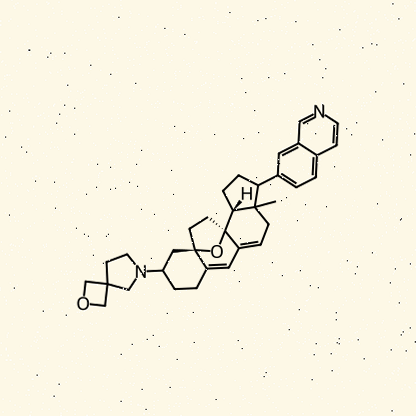 CC12CC=C3C=C4CCC(N5CCC6(COC6)C5)C[C@]45CC[C@]3(O5)[C@@H]1CCC2c1ccc2ccncc2c1